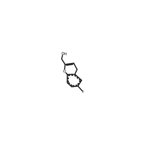 OCC1=CCc2cc(I)ccc2O1